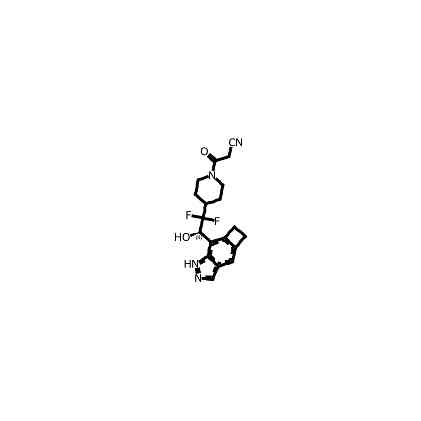 N#CCC(=O)N1CCC(C(F)(F)[C@H](O)c2c3c(cc4cn[nH]c24)CC3)CC1